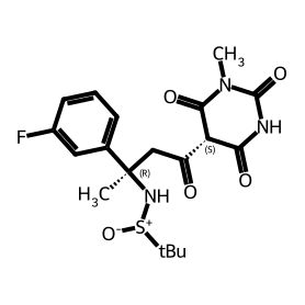 CN1C(=O)NC(=O)[C@H](C(=O)C[C@@](C)(N[S+]([O-])C(C)(C)C)c2cccc(F)c2)C1=O